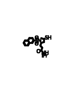 CC(C)NC(=O)CCC1CC(S)CN1S(=O)(=O)c1ccc2ccccc2c1